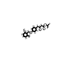 CC(C)OC(=O)CC(=O)Cc1ccc(OCc2c(F)cccc2F)cc1